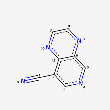 N#Cc1cncc2nc[c]nc12